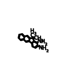 CC1(C)c2cc3ccccc3cc2-c2ccc(N)c(N)c21